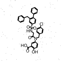 O=C(O)c1cc(N(Cc2ccc(Cl)cc2)C(=O)CNS(=O)(=O)c2ccc(-c3ccccc3)c(Cc3ccccc3)c2)ccc1O